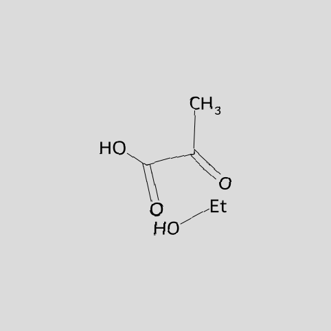 CC(=O)C(=O)O.CCO